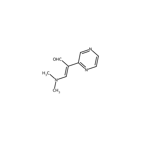 CN(C)C=C(C=O)c1cnccn1